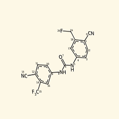 N#Cc1ccc(NC(=O)Nc2ccc(C#N)c(C(F)(F)F)c2)cc1CF